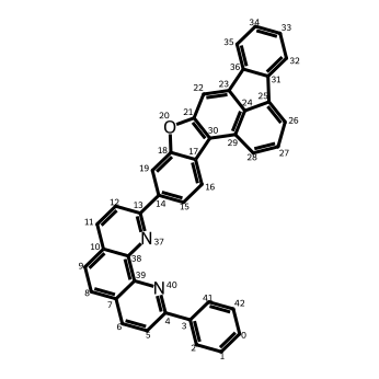 c1ccc(-c2ccc3ccc4ccc(-c5ccc6c(c5)oc5cc7c8c(cccc8c56)-c5ccccc5-7)nc4c3n2)cc1